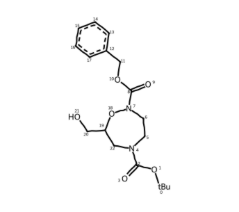 CC(C)(C)OC(=O)N1CCN(C(=O)OCc2ccccc2)OC(CO)C1